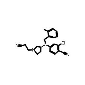 Cc1ccccc1CN(c1ccc(C#N)c(Cl)c1)[C@H]1CCN(CCC#N)C1